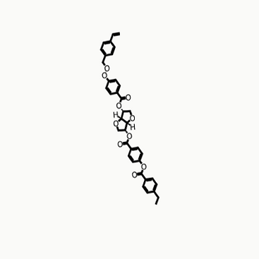 C=Cc1ccc(COOc2ccc(C(=O)O[C@@H]3CO[C@H]4[C@@H]3OC[C@@H]4OC(=O)c3ccc(OC(=O)c4ccc(CC)cc4)cc3)cc2)cc1